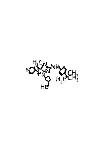 Cc1nc(NCCc2ccc(C(C)(C)C)cc2)nc(N[C@H]2CC[C@@H](CO)C2)c1-c1nc2cnccc2s1